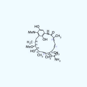 CNc1c(O)cc2c(O)c1C[C@@H](C)[C@H](OC)[C@H](O)[C@@H](C)/C=C(\C)[C@H](OC(N)=O)[C@@H](C)/C=C\C=C(/C)C(=O)N2